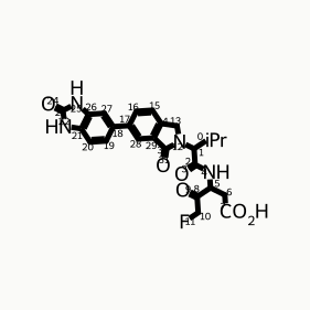 CC(C)C(C(=O)NC(CC(=O)O)C(=O)CF)N1Cc2ccc(-c3ccc4[nH]c(=O)[nH]c4c3)cc2C1=O